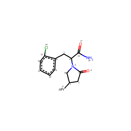 CCCC1CC(=O)N(C(Cc2ccccc2Cl)C(N)=O)C1